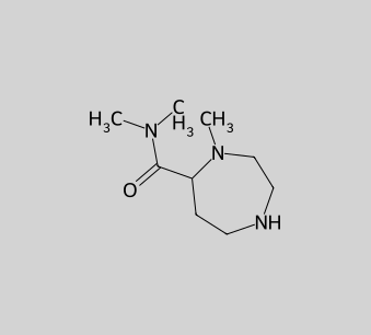 CN(C)C(=O)C1CCNCCN1C